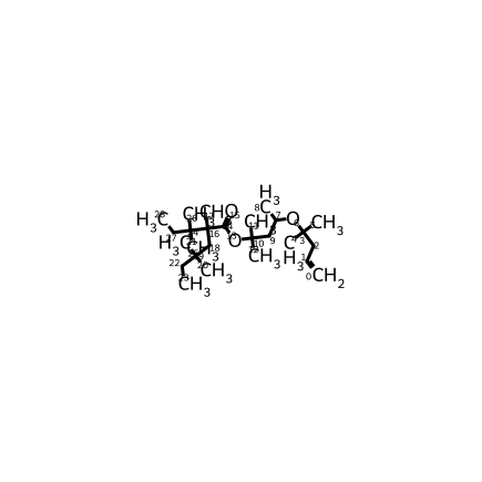 C=CCC(C)(C)OC(C)CC(C)(C)OC(=O)C(C)(CC(C)(C)CC)C(C)(C)CC